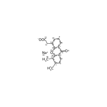 Cc1ccc2c(=O)c3cccc(CC(=O)[O-])c3oc2c1C.[Na+]